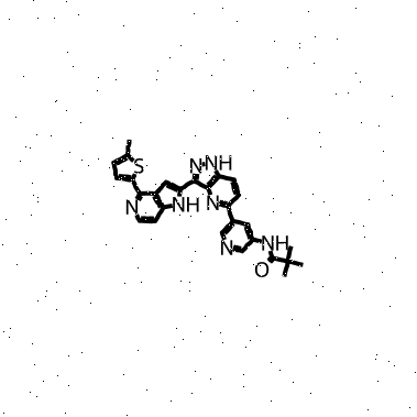 Cc1ccc(-c2nccc3[nH]c(-c4n[nH]c5ccc(-c6cncc(NC(=O)C(C)(C)C)c6)nc45)cc23)s1